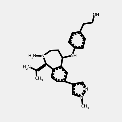 C/C(N)=C1\c2ccc(-c3cnn(C)c3)cc2C(Nc2ccc(CCO)cc2)CCN1N